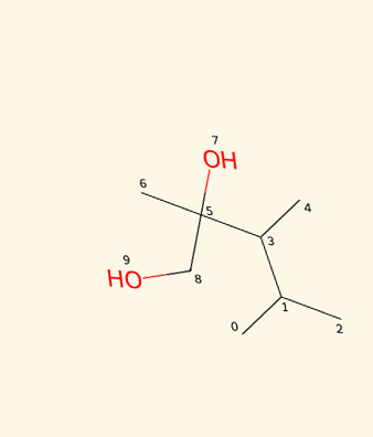 CC(C)C(C)C(C)(O)CO